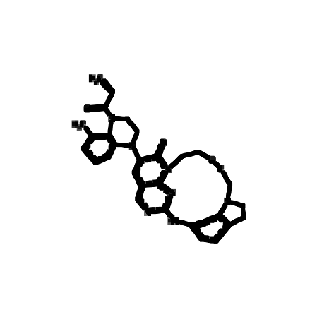 C=CC(=O)N1CCN(c2cc3cnc4nc3n(c2=O)CCOCCN2CCc3ccc(cc32)N4)c2cccc(C)c21